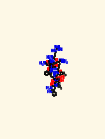 CC(O)C(NC(=O)C(Cc1c[nH]c2ccccc12)NC(=O)C(NC(=O)C(CCCCN)NC(=O)C(CC(N)=O)NC(=O)C(CC(N)=O)NC(=O)C(CCCCN)NC(=O)C(N)CCCNC(=N)N)C(C)O)C(=O)NC(Cc1c[nH]c2ccccc12)C(N)=O